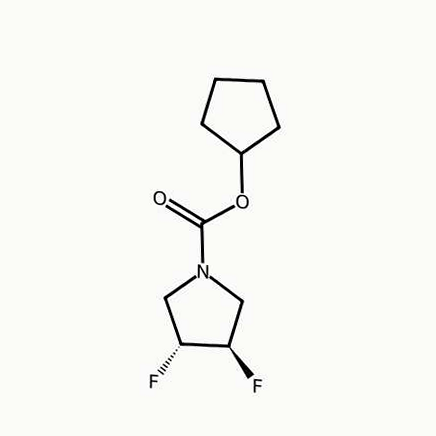 O=C(OC1CCCC1)N1C[C@@H](F)[C@H](F)C1